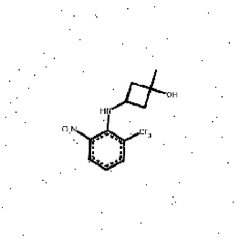 CC1(O)CC(Nc2c([N+](=O)[O-])cccc2C(F)(F)F)C1